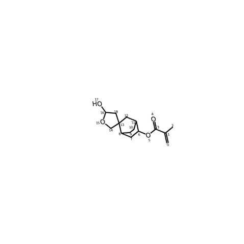 C=C(C)C(=O)OC1CC2CCC1CC21COC(O)C1